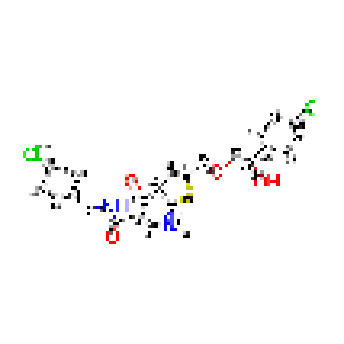 Cn1cc(C(=O)NCc2ccc(Cl)cc2)c(=O)c2cc(COC[C@H](O)c3ccc(Cl)cc3)sc21